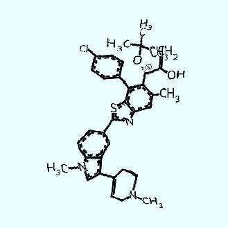 C=C(O)[C@@H](OC(C)(C)C)c1c(C)cc2nc(-c3ccc4c(c3)c(C3=CCN(C)CC3)cn4C)sc2c1-c1ccc(Cl)cc1